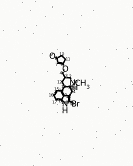 CN1CC(COC2=CC(=O)CC2)CC2c3cccc4[nH]c(Br)c(c34)C[C@H]21